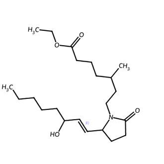 CCCCCC(O)/C=C/C1CCC(=O)N1CCC(C)CCCC(=O)OCC